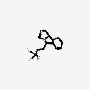 FC(F)(F)CCc1c2ccccc2c2n1C=NC2